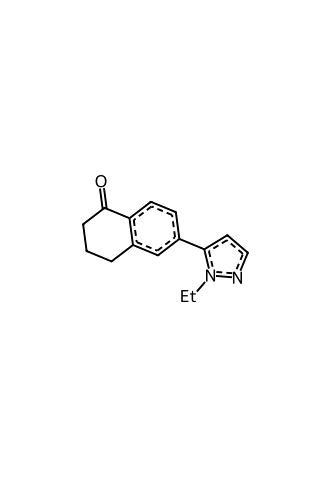 CCn1nccc1-c1ccc2c(c1)CCCC2=O